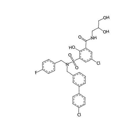 O=C(NCC(O)CO)c1cc(Cl)cc(S(=O)(=O)N(Cc2ccc(F)cc2)Cc2cccc(-c3ccc(Cl)cc3)c2)c1O